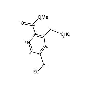 CCOc1cnc(C(=O)OC)c(CC=O)c1